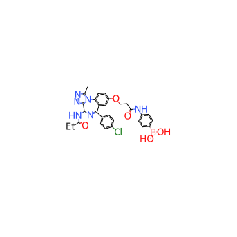 CCC(=O)N[C@@H]1N=C(c2ccc(Cl)cc2)c2cc(OCCC(=O)Nc3ccc(B(O)O)cc3)ccc2-n2c(C)nnc21